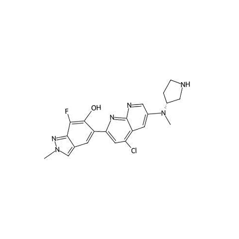 CN(c1cnc2nc(-c3cc4cn(C)nc4c(F)c3O)cc(Cl)c2c1)[C@@H]1CCNC1